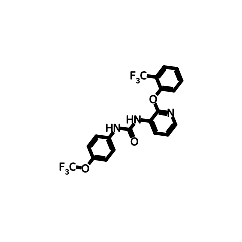 O=C(Nc1ccc(OC(F)(F)F)cc1)Nc1cccnc1Oc1ccccc1C(F)(F)F